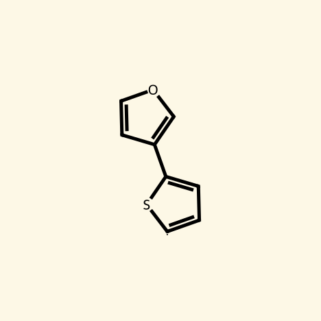 [c]1ccc(-c2ccoc2)s1